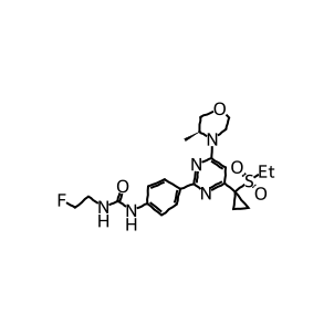 CCS(=O)(=O)C1(c2cc(N3CCOC[C@@H]3C)nc(-c3ccc(NC(=O)NCCF)cc3)n2)CC1